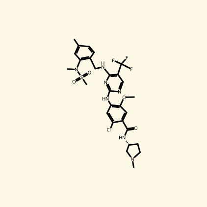 COc1cc(C(=O)N[C@@H]2CCN(C)C2)c(Cl)cc1Nc1ncc(C(F)(F)F)c(NCc2ccc(C)cc2N(C)S(C)(=O)=O)n1